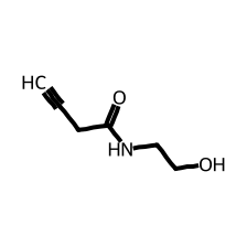 C#CCC(=O)NCCO